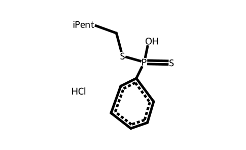 CCCC(C)CSP(O)(=S)c1ccccc1.Cl